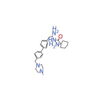 CN1CCN(Cc2ccc(-c3ccc(CC(N)NC(=O)C4(N)CCCCC4)cc3)cc2)CC1